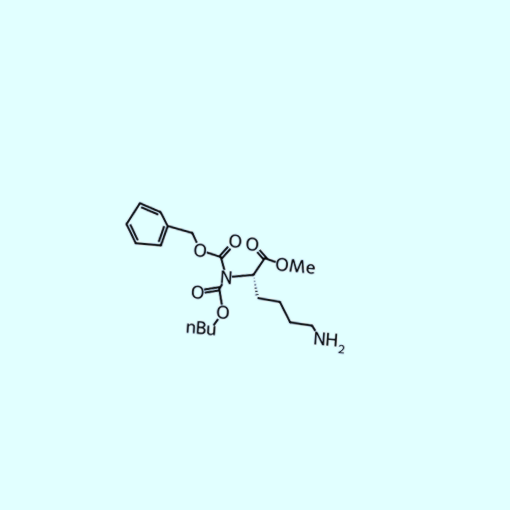 CCCCOC(=O)N(C(=O)OCc1ccccc1)[C@@H](CCCCN)C(=O)OC